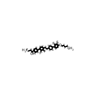 C=CCCCOc1ccc(C2=CCC(CCc3ccc(-c4ccc(C(O)CCC)cc4)c(F)c3F)CC2)c(F)c1F